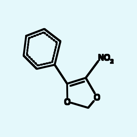 O=[N+]([O-])C1=C(c2ccccc2)OCO1